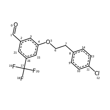 O=Cc1cc(OCCc2ccc(Cl)cc2)cc(C(F)(F)F)c1